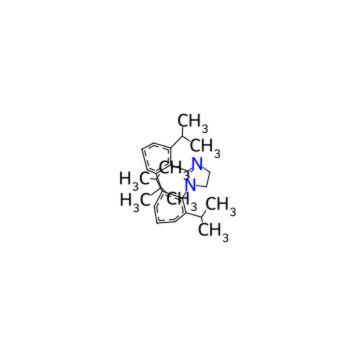 CC(C)c1cccc(C(C)C)c1C1=NCCN1c1c(C(C)C)cccc1C(C)C